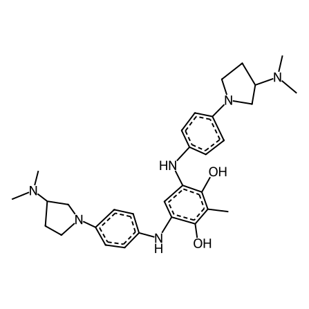 Cc1c(O)c(Nc2ccc(N3CCC(N(C)C)C3)cc2)cc(Nc2ccc(N3CCC(N(C)C)C3)cc2)c1O